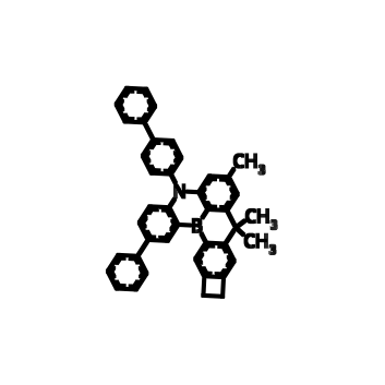 Cc1cc2c3c(c1)C(C)(C)c1cc4c(cc1B3c1cc(-c3ccccc3)ccc1N2c1ccc(-c2ccccc2)cc1)CC4